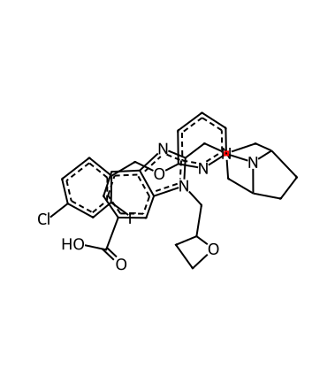 O=C(O)c1ccc2nc(CN3CC4CCC(C3)N4c3cccc(OCc4ccc(Cl)cc4F)n3)n(CC3CCO3)c2c1